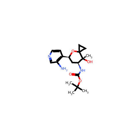 CC(C)(C)OC(=O)N[C@H]1C[C@@H](c2ccncc2N)OC2(CC2)[C@]1(C)O